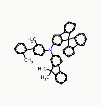 Cc1ccccc1-c1ccc(N(c2ccc3c(c2)C(C)(C)c2ccccc2-3)c2ccc3c(c2)C2(c4ccccc4-c4ccccc42)c2ccccc2-3)cc1C